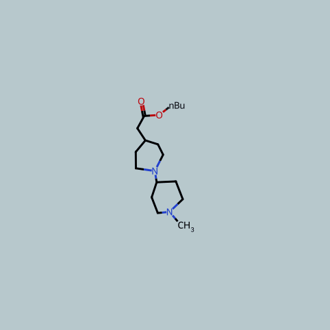 CCCCOC(=O)CC1CCN(C2CCN(C)CC2)CC1